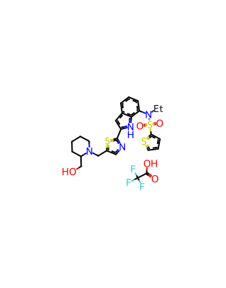 CCN(c1cccc2cc(-c3ncc(CN4CCCCC4CO)s3)[nH]c12)S(=O)(=O)c1cccs1.O=C(O)C(F)(F)F